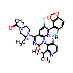 CC(=O)N1CCN(c2nc(=O)n(-c3c(C)ccnc3C(C)C)c3nc(-c4c(F)ccc5c4OCO5)c(F)cc23)[C@@H](C)C1